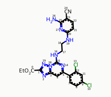 CCOC(=O)c1nc2cc(-c3ccc(Cl)cc3Cl)nc(NCCNc3ccc(C#N)c(N)n3)n2n1